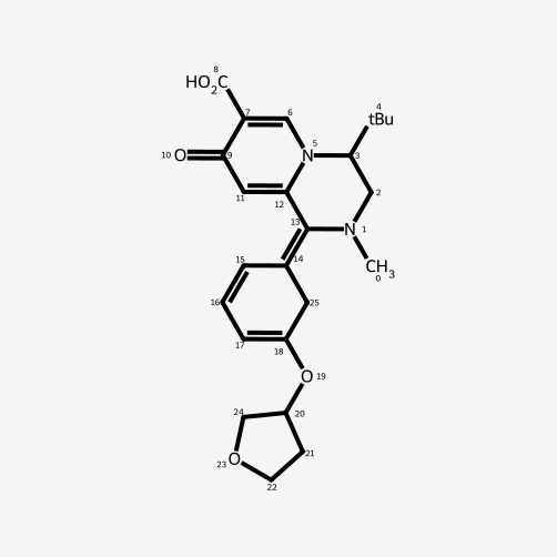 CN1CC(C(C)(C)C)n2cc(C(=O)O)c(=O)cc2/C1=C1\C=CC=C(OC2CCOC2)C1